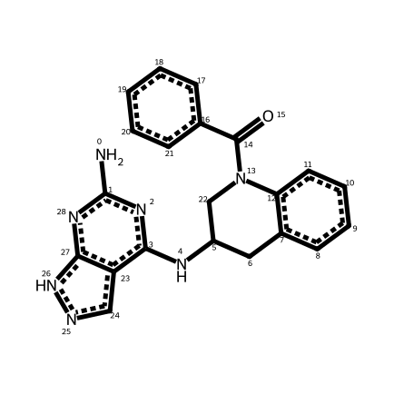 Nc1nc(NC2Cc3ccccc3N(C(=O)c3ccccc3)C2)c2cn[nH]c2n1